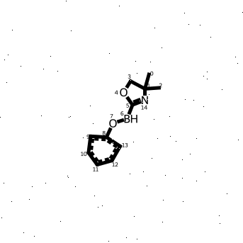 CC1(C)COC(BOc2ccccc2)=N1